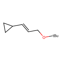 CC(C)(C)OC/C=C/C1CC1